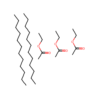 CCCCCCCCCCCC.CCCCCCCCCCCC.CCOC(C)=O.CCOC(C)=O.CCOC(C)=O